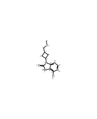 COCC1CC(n2c(=O)[nH]c3c(Cl)ncnc32)C1